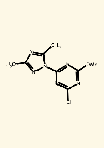 COc1nc(Cl)cc(-n2nc(C)nc2C)n1